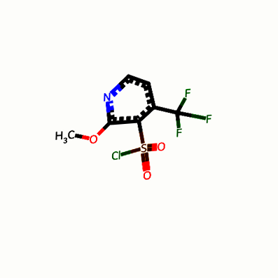 COc1nccc(C(F)(F)F)c1S(=O)(=O)Cl